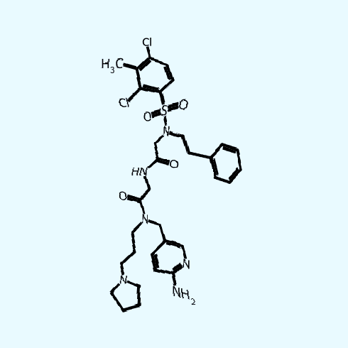 Cc1c(Cl)ccc(S(=O)(=O)N(CCc2ccccc2)CC(=O)NCC(=O)N(CCCN2CCCC2)Cc2ccc(N)nc2)c1Cl